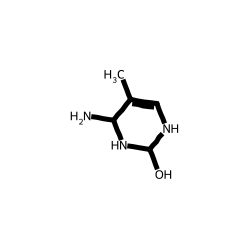 CC1=CNC(O)NC1N